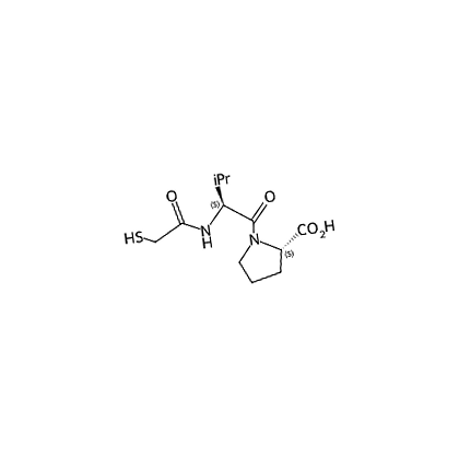 CC(C)[C@H](NC(=O)CS)C(=O)N1CCC[C@H]1C(=O)O